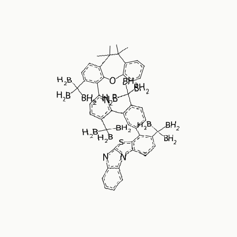 BC(B)(B)c1ccc(-c2c(C(B)(B)B)ccc3c2sc2nc4ccccc4n23)cc1-c1nc(-c2c(C(B)(B)B)ccc3c2Oc2ccccc2C(C)(C)C3(C)C)ccc1C(B)(B)B